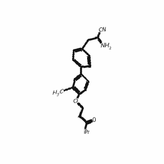 Cc1cc(-c2ccc(CC(N)C#N)cc2)ccc1OCCC(=O)C(C)C